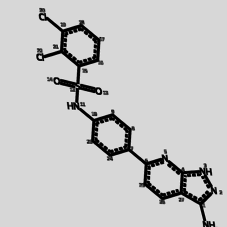 Nc1n[nH]c2nc(-c3ccc(NS(=O)(=O)c4cccc(Cl)c4Cl)cc3)ccc12